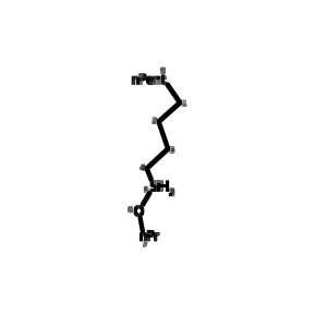 CCCCCCCCC[SiH2]OCCC